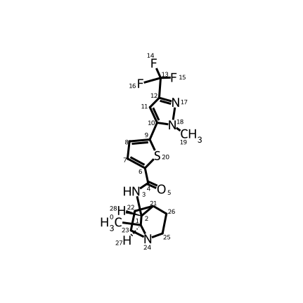 C[C@H]1[C@H](NC(=O)c2ccc(-c3cc(C(F)(F)F)nn3C)s2)C2CCN1CC2